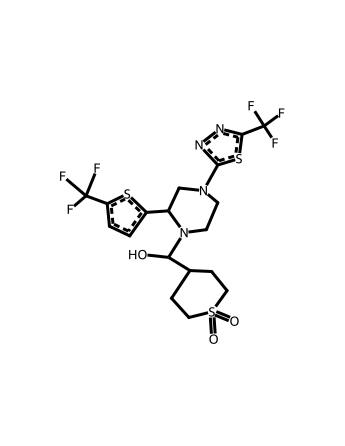 O=S1(=O)CCC(C(O)N2CCN(c3nnc(C(F)(F)F)s3)CC2c2ccc(C(F)(F)F)s2)CC1